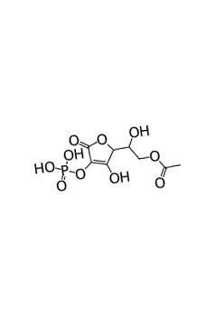 CC(=O)OCC(O)C1OC(=O)C(OP(=O)(O)O)=C1O